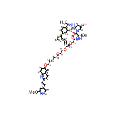 COc1cc(/C=C/c2ccc3cc(OCCOCCOCCOCCOCC(=O)N[C@H](C(=O)N4C[C@H](O)C[C@H]4C(=O)N[C@@H](C)c4ccc(-c5scnc5C)cc4)C(C)(C)C)ccc3n2)ccn1